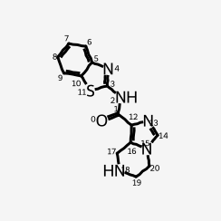 O=C(Nc1nc2ccccc2s1)c1ncn2c1CNCC2